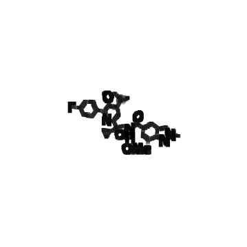 COc1cc(C(=O)NC[C@](O)(c2cc3c(c(-c4ccc(F)cc4)n2)OC[C@H]3C)C2CC2)cc2cn(C)nc12